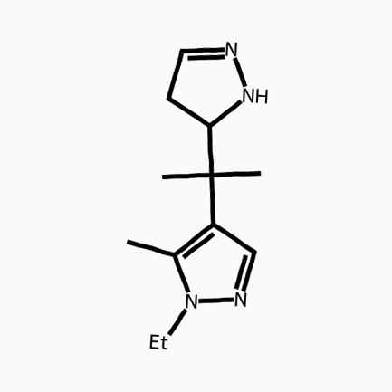 CCn1ncc(C(C)(C)C2CC=NN2)c1C